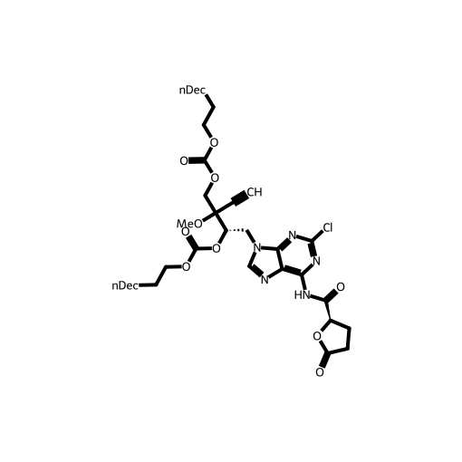 C#CC(COC(=O)OCCCCCCCCCCCC)(OC)[C@H](Cn1cnc2c(NC(=O)[C@H]3CCC(=O)O3)nc(Cl)nc21)OC(=O)OCCCCCCCCCCCC